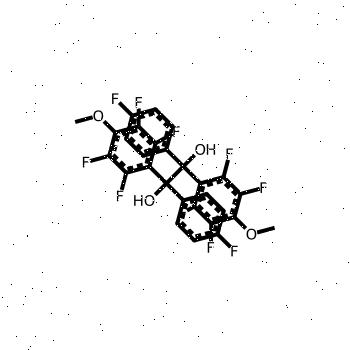 COc1c(F)c(F)c(C(O)(c2ccc(F)cc2)C(O)(c2ccc(F)cc2)c2c(F)c(F)c(OC)c(F)c2F)c(F)c1F